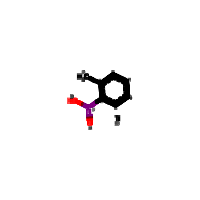 Cc1ccccc1[PH](=O)O.[Ti]